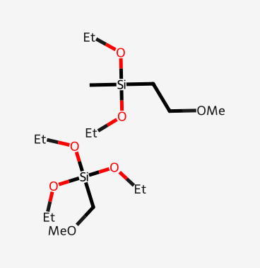 CCO[Si](C)(CCOC)OCC.CCO[Si](COC)(OCC)OCC